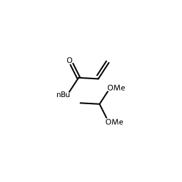 C=CC(=O)CCCC.COC(C)OC